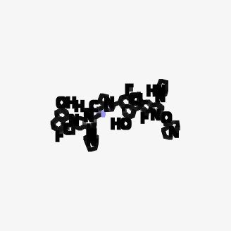 C/C(=C\C1=NC2CN(c3cc(O)cc4ccc(F)c(Cl)c34)CCC2C(N2CC3CCC(C2)N3)=C1)C12CCCN1C(c1cc(F)c(Cl)c3c(-c4c(Cl)cc5c(N6CC7CCC(C6)N7)cc(OCC67CCCN6CCC7)nc5c4F)cc(O)cc13)CC2